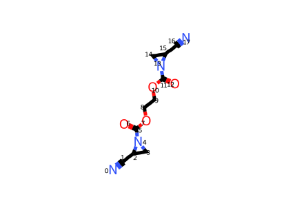 N#CC1CN1C(=O)OCCOC(=O)N1CC1C#N